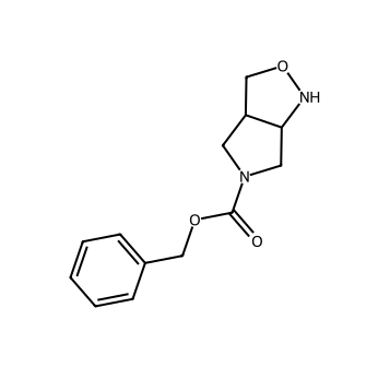 O=C(OCc1ccccc1)N1CC2CONC2C1